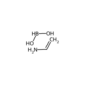 C=CN.OBO